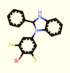 Fc1cc(N2c3ccccc3NC2c2ccccc2)cc(F)c1Br